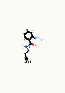 C#CCCNC(=O)c1ccccc1N